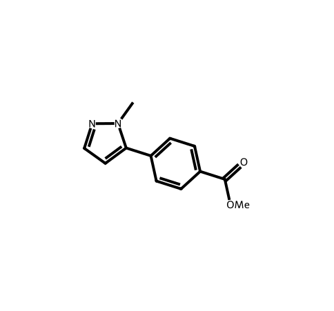 COC(=O)c1ccc(-c2ccnn2C)cc1